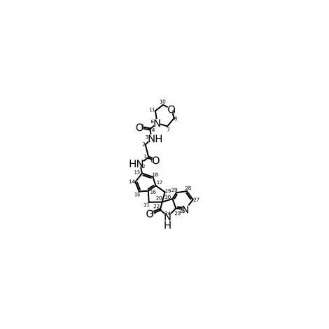 O=C(CNC(=O)N1CCOCC1)Nc1ccc2c(c1)CC1(C2)C(=O)Nc2ncccc21